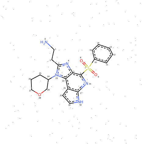 NCCc1nc2c(S(=O)(=O)c3ccccc3)nc3[nH]ccc3c2n1C1CCCOC1